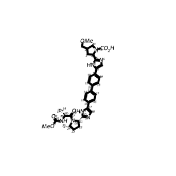 COCC1CC(c2ncc(-c3ccc(-c4ccc(-c5cnc([C@@H]6CC[C@H](C)N6C(=O)[C@@H](NC(=O)OC)C(C)C)[nH]5)cc4)cc3)[nH]2)N(C(=O)O)C1